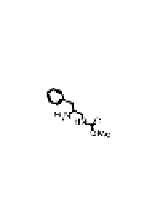 COC(=O)NCC(N)Cc1ccccc1